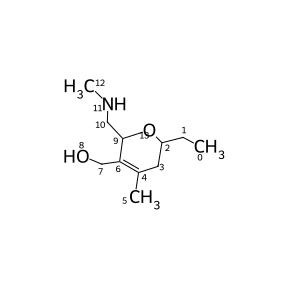 CCC1CC(C)=C(CO)C(CNC)O1